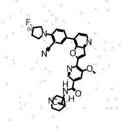 COc1cc(C(=O)N[C@@H]2CN3CCC2CC3)cnc1-c1cc2nccc(-c3ccc(N4CC[C@H](F)C4)c(C#N)c3)c2o1